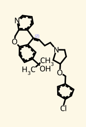 CC(C)(O)c1ccc2c(c1)/C(=C\CCN1CCC(OCc3ccc(Cl)cc3)C1)c1cccnc1CO2